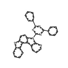 c1ccc(-c2nc(-c3ccccc3)nc(-n3c4ccc5sc6ccccc6c5c4c4cccnc43)n2)cc1